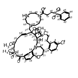 CCCc1cc(Cl)ccc1[C@@H]1COc2ccc3cc2N(C1)C[C@@H]1CC[C@H]1[C@@](CN1CCCN(C(=O)CCS(=O)(=O)c2ccccc2)CCNCC1)(OC)/C=C/C[C@H](C)[C@@H](C)S(=O)(=O)NC3=O